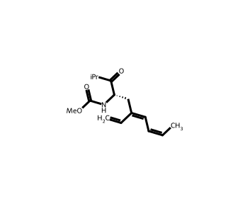 C=C/C(=C\C=C/C)C[C@H](NC(=O)OC)C(=O)C(C)C